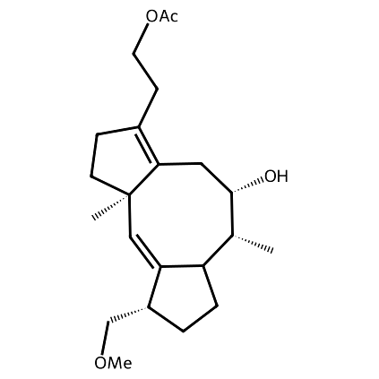 COC[C@H]1CCC2/C1=C\[C@@]1(C)CCC(CCOC(C)=O)=C1C[C@H](O)[C@@H]2C